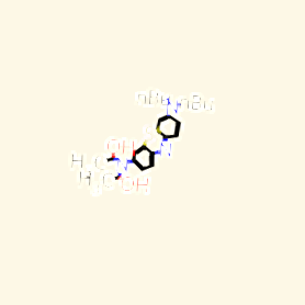 CCCCN(CCCC)c1ccc2nc3ccc(N(C(C)O)C(C)O)cc3[s+]c2c1